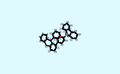 c1ccc(C2c3ccccc3Cc3cccc(-c4ccc(-n5c6ccccc6c6ccccc65)cc4)c32)cc1